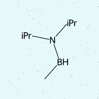 CBN(C(C)C)C(C)C